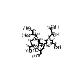 OCC(O)CN(CCN(CC(O)CO)CC(O)CO)CCN(CC(O)CO)CC(O)CO